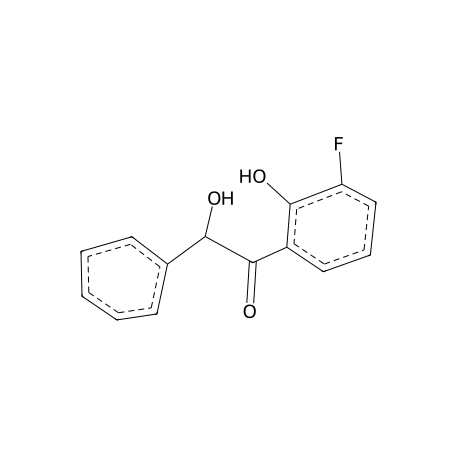 O=C(c1cccc(F)c1O)C(O)c1ccccc1